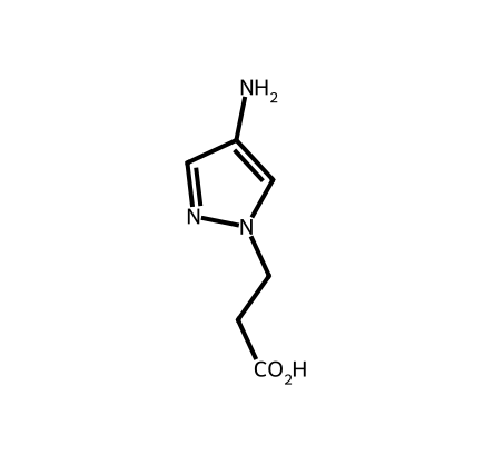 Nc1cnn(CCC(=O)O)c1